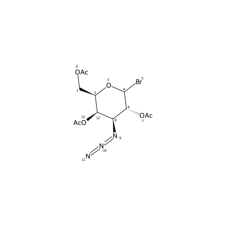 CC(=O)OC[C@H]1OC(Br)[C@H](OC(C)=O)[C@@H](N=[N+]=[N-])[C@H]1OC(C)=O